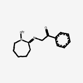 CCCN1CCCCC/C1=N\CC(=O)c1ccccc1